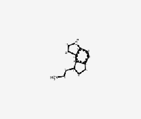 NCCC1CCc2ccc3c(c21)CCO3